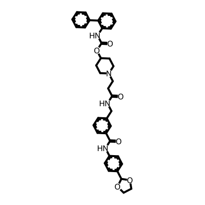 O=C(CCN1CCC(OC(=O)Nc2ccccc2-c2ccccc2)CC1)NCc1cccc(C(=O)Nc2ccc(C3OCCO3)cc2)c1